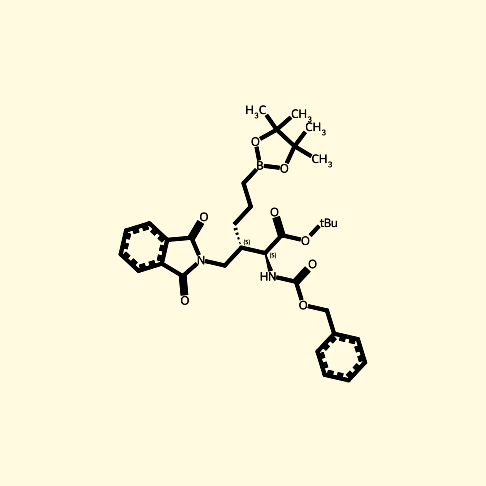 CC(C)(C)OC(=O)[C@@H](NC(=O)OCc1ccccc1)[C@@H](CCCB1OC(C)(C)C(C)(C)O1)CN1C(=O)c2ccccc2C1=O